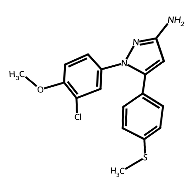 COc1ccc(-n2nc(N)cc2-c2ccc(SC)cc2)cc1Cl